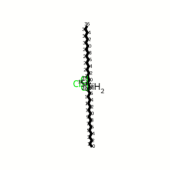 CCCCCCCCCCCCCCCCCC[SiH2]C(CCCCCCCCCCCCCCCCC)[Si](Cl)(Cl)Cl